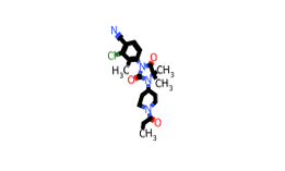 CCC(=O)N1CCC(N2C(=O)N(c3ccc(C#N)c(Cl)c3C)C(=O)C2(C)C)CC1